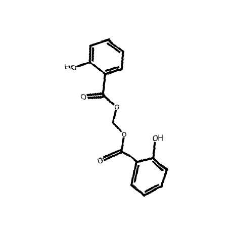 O=C(OCOC(=O)c1ccccc1O)c1ccccc1O